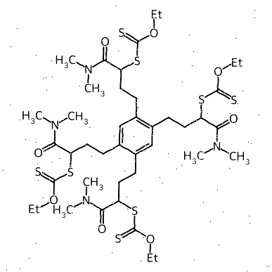 CCOC(=S)SC(CCc1cc(CCC(SC(=S)OCC)C(=O)N(C)C)c(CCC(SC(=S)OCC)C(=O)N(C)C)cc1CCC(SC(=S)OCC)C(=O)N(C)C)C(=O)N(C)C